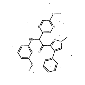 COc1cccc(NC(C(=O)c2nn(C)cc2-c2ccccc2)c2cnc(OC)cn2)c1